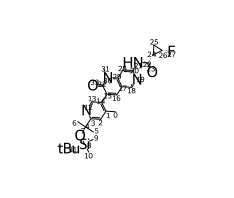 Cc1cc(C(C)(C)O[Si](C)(C)C(C)(C)C)ncc1-c1cc2cnc(NC(=O)[C@@H]3C[C@@H]3F)cc2n(C)c1=O